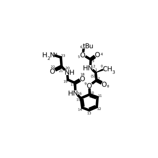 C[C@H](NC(=O)OC(C)(C)C)C(=O)Oc1ccccc1NC(=O)CNC(=O)CN